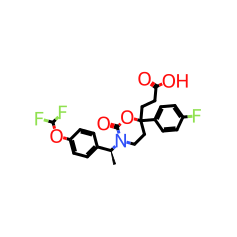 C[C@@H](c1ccc(OC(F)F)cc1)N1CCC(CCC(=O)O)(c2ccc(F)cc2)OC1=O